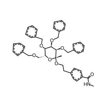 CNC(=O)c1ccc(CCO[C@]2(C)O[C@H](COCc3ccccc3)[C@@H](OCc3ccccc3)[C@@H](OCc3ccccc3)[C@H]2OCc2ccccc2)cc1